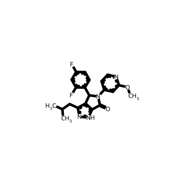 COc1cc(N2C(=O)c3[nH]nc(CC(C)C)c3C2c2ccc(F)cc2F)ccn1